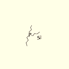 CCCCP(CCCC)CCCC.[Si]